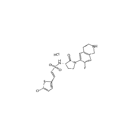 Cl.O=C1[C@@H](NS(=O)(=O)C=Cc2ccc(Cl)s2)CCN1c1cc2c(cc1F)CNCC2